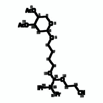 CC(=O)OC1COC(OCCCCOP(OCCC#N)N(C(C)C)C(C)C)CC1OC(C)=O